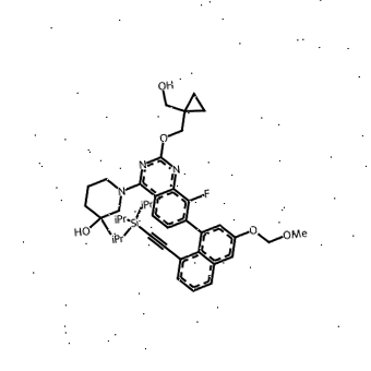 COCOc1cc(-c2ccc3c(N4CCCC(C)(O)C4)nc(OCC4(CO)CC4)nc3c2F)c2c(C#C[Si](C(C)C)(C(C)C)C(C)C)cccc2c1